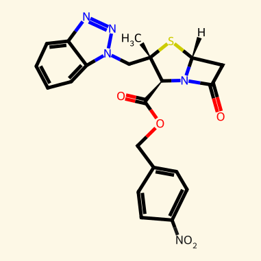 C[C@@]1(Cn2nnc3ccccc32)S[C@@H]2CC(=O)N2[C@H]1C(=O)OCc1ccc([N+](=O)[O-])cc1